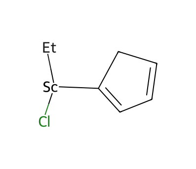 C[CH2][Sc]([Cl])[C]1=CC=CC1